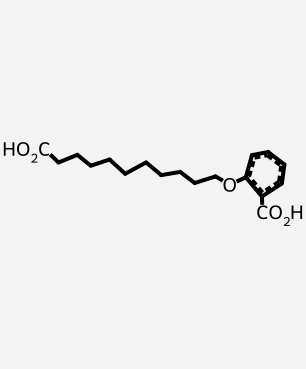 O=C(O)CCCCCCCCCCOc1ccccc1C(=O)O